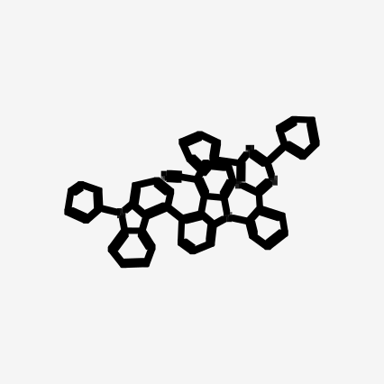 N#Cc1cccc2c1c1c(-c3cccc4c3c3ccccc3n4-c3ccccc3)cccc1n2-c1ccccc1-c1nc(-c2ccccc2)nc(-c2ccccc2)n1